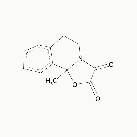 CC12OC(=O)C(=O)N1CCc1ccccc12